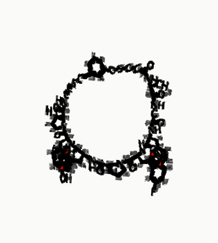 C[C@@H]1NC(=O)CCSCc2cccc(c2)CSCCNC(=O)[C@]2(C)CCCN2C(=O)[C@H](Cc2ccc(O)cc2)N(C)C(=O)[C@H](Cc2cnc[nH]2)NC(=O)[C@@H]2CCCN2C(=O)[C@H](Cc2c[nH]c3ccc(F)cc23)NC(=O)[C@H](CC2CCCCC2)NC(=O)CNC1=O